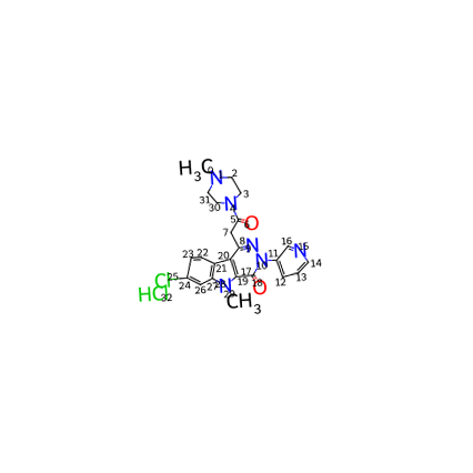 CN1CCN(C(=O)Cc2nn(-c3cccnc3)c(=O)c3c2c2ccc(Cl)cc2n3C)CC1.Cl